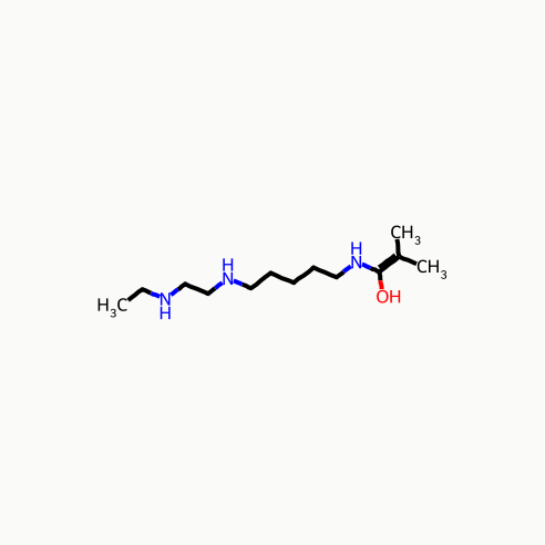 CCNCCNCCCCCNC(O)=C(C)C